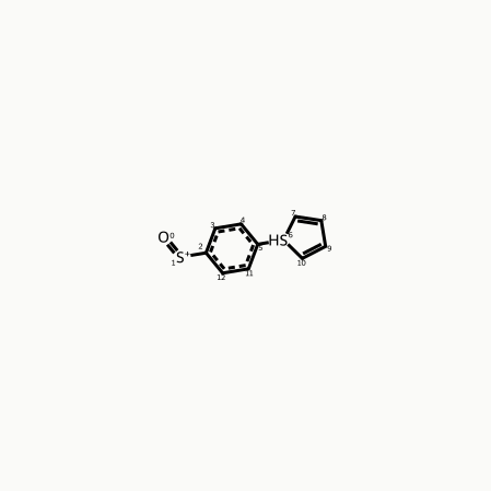 O=[S+]c1ccc([SH]2C=CC=C2)cc1